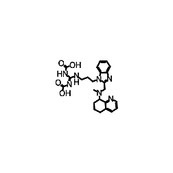 CN(Cc1nc2ccccc2n1CCCNC(=NC(=O)O)NC(=O)O)C1CCCc2cccnc21